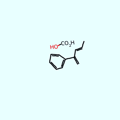 C=C(C=CC)c1ccccc1.O=C(O)O